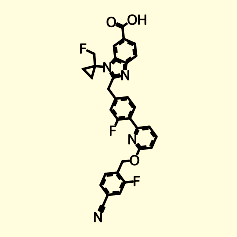 N#Cc1ccc(COc2cccc(-c3ccc(Cc4nc5ccc(C(=O)O)cc5n4C4(CF)CC4)cc3F)n2)c(F)c1